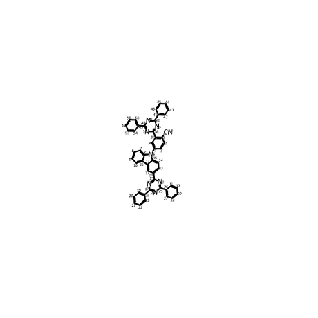 N#Cc1ccc(-n2c3ccccc3c3cc(-c4nc(-c5ccccc5)nc(-c5ccccc5)n4)ccc32)cc1-c1nc(-c2ccccc2)nc(-c2ccccc2)n1